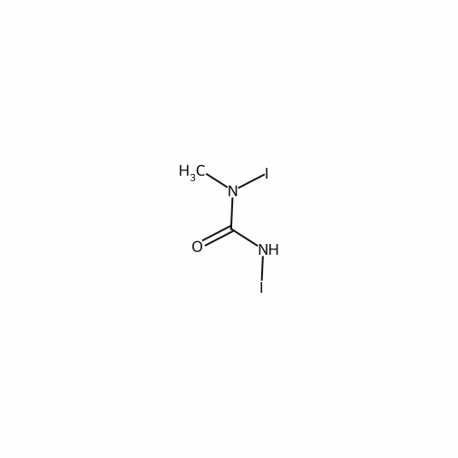 CN(I)C(=O)NI